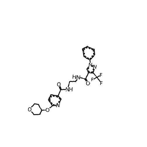 O=C(NCCNC(=O)c1cn(-c2ccccc2)nc1C(F)(F)F)c1ccc(OC2CCOCC2)nc1